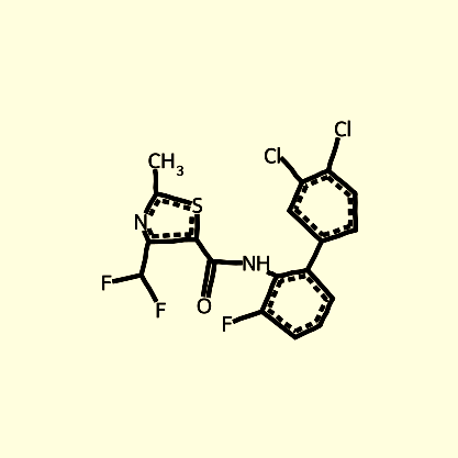 Cc1nc(C(F)F)c(C(=O)Nc2c(F)cccc2-c2ccc(Cl)c(Cl)c2)s1